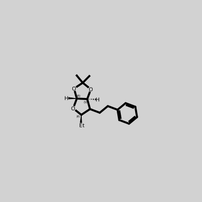 CC[C@H]1O[C@@H]2OC(C)(C)O[C@H]2C1CCc1ccccc1